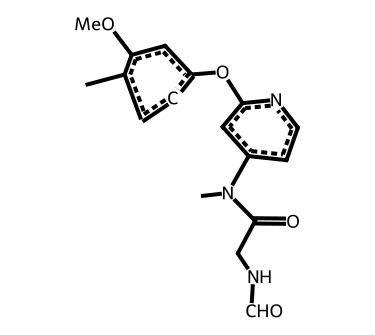 COc1cc(Oc2cc(N(C)C(=O)CNC=O)ccn2)ccc1C